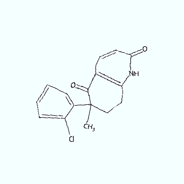 CC1(c2ccccc2Cl)CCc2[nH]c(=O)ccc2C1=O